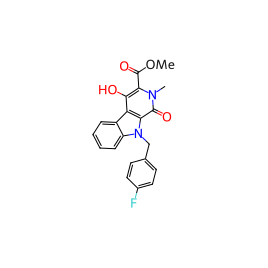 COC(=O)c1c(O)c2c3ccccc3n(Cc3ccc(F)cc3)c2c(=O)n1C